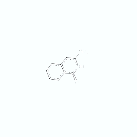 O=c1[nH]c([N+](=O)[O-])cc2ccccc12